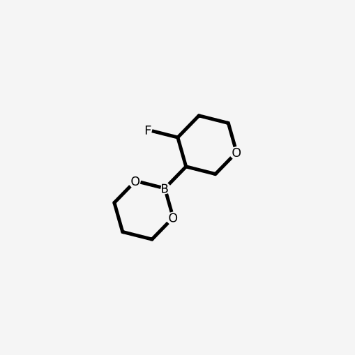 FC1CCOCC1B1OCCCO1